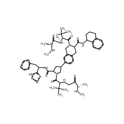 CN[C@@H](C)C(=O)CNC(C(=O)N1CC(c2ccc3c(c2)CN(C(=O)C(NC(=O)[C@H](C)NC)C(C)(C)C)C(C(=O)NC2CCCc4ccccc42)C3)CC1C(=O)NC(Cc1ccccc1)c1nnn[nH]1)C(C)(C)C